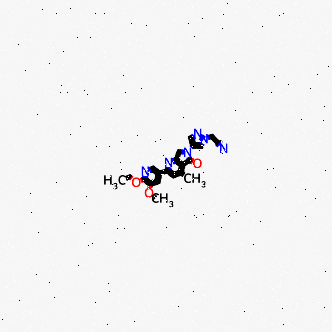 CCOc1ncc(-c2cc(C)c3c(n2)CN(c2cnn(CC#N)c2)C3=O)cc1OC